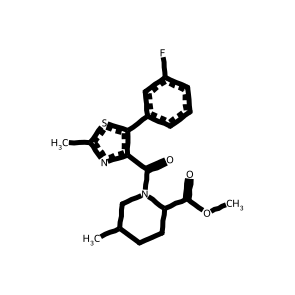 COC(=O)C1CCC(C)CN1C(=O)c1nc(C)sc1-c1cccc(F)c1